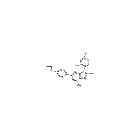 CCOc1ccc(-c2cc(O)n3nc(C)c(-c4ccc(F)cc4F)c3n2)cc1